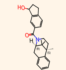 CC1(C)[C@H]2Cc3ccccc3[C@]1(C)CCN2C(=O)c1ccc2c(c1)C(O)CC2